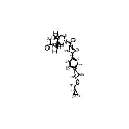 O=C1CO[C@H]2CCN(C(=O)N3CC(c4ccc(N5CC(OCC6CC6)C5)cc4)C3)C[C@H]2N1